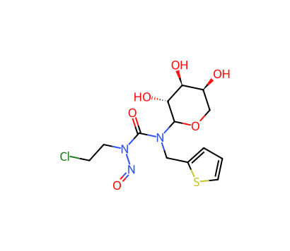 O=NN(CCCl)C(=O)N(Cc1cccs1)C1OC[C@H](O)[C@H](O)[C@H]1O